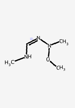 CN/C=N\N(C)OC